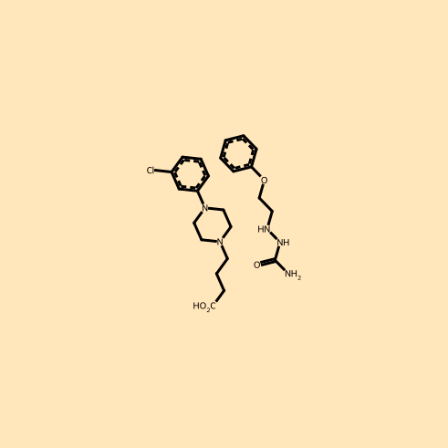 NC(=O)NNCCOc1ccccc1.O=C(O)CCCN1CCN(c2cccc(Cl)c2)CC1